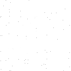 CCCC(=O)OC(=Cc1ccccc1)OC(=O)CCC